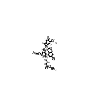 COc1cc(NC(C(=O)n2ccc3cc(F)c(C(F)(F)F)cc32)c2ccc(Cl)cc2)cc(OCCCC(=O)OC(C)(C)C)c1